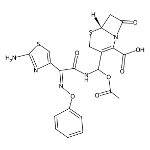 CC(=O)OC(NC(=O)C(=NOc1ccccc1)c1csc(N)n1)C1=C(C(=O)O)N2C(=O)C[C@H]2SC1